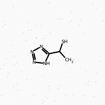 [CH2]C(S)c1nnn[nH]1